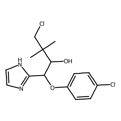 CC(C)(CCl)C(O)C(Oc1ccc(Cl)cc1)c1ncc[nH]1